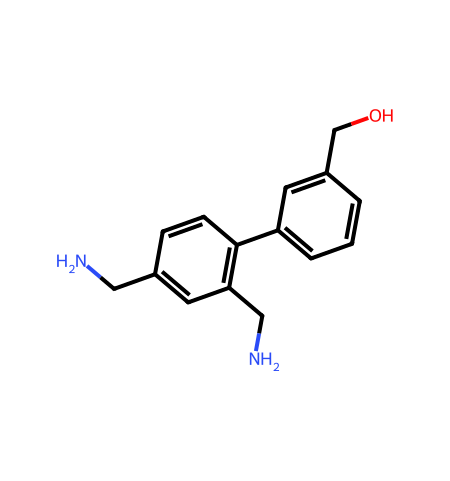 NCc1ccc(-c2cccc(CO)c2)c(CN)c1